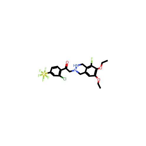 CCOc1cc2c(c(F)c1OCC)CNN(CC(=O)c1ccc(S(F)(F)(F)(F)F)cc1Cl)C2